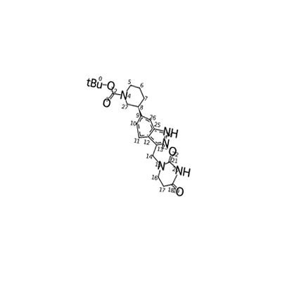 CC(C)(C)OC(=O)N1CCC[C@@H](c2ccc3c(CN4CCC(=O)NC4=O)n[nH]c3c2)C1